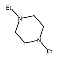 CCN1[CH]CN(CC)CC1